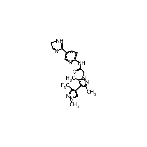 Cc1nn(CC(=O)Nc2ccc(C3=CNCC=N3)cn2)c(C)c1-c1cn(C)nc1C(F)(F)F